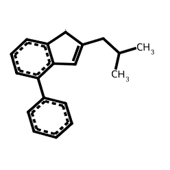 CC(C)CC1=Cc2c(cccc2-c2ccccc2)[CH]1